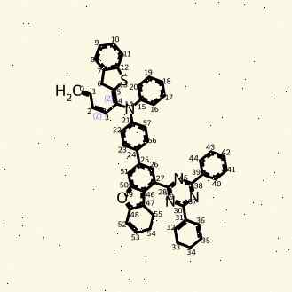 C=C/C=C\C(=C1/Cc2ccccc2S1)N(c1ccccc1)c1ccc(-c2cc(-c3nc(C4=CCCC=C4)nc(-c4ccccc4)n3)c3c4c(oc3c2)C=CCC4)cc1